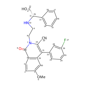 COc1ccc2c(=O)n(CCN[C@H](C(=O)O)c3ccccc3)c(C#N)c(-c3cccc(F)c3)c2c1